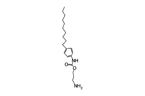 CCCCCCCCCCc1ccc(NC(=O)OCCCN)cc1